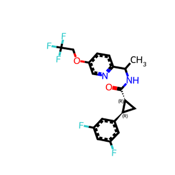 CC(NC(=O)[C@@H]1C[C@H]1c1cc(F)cc(F)c1)c1ccc(OCC(F)(F)F)cn1